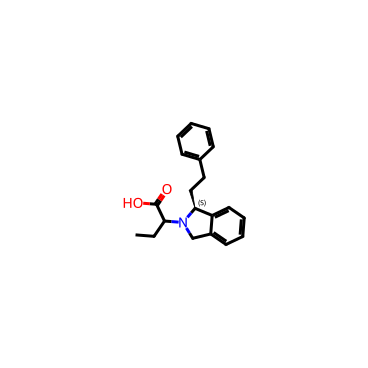 CCC(C(=O)O)N1Cc2ccccc2[C@@H]1CCc1ccccc1